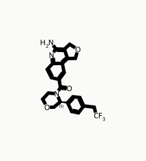 Nc1nc2ccc(C(=O)N3CCOC[C@@H]3c3ccc(CC(F)(F)F)cc3)cc2c2c1COC2